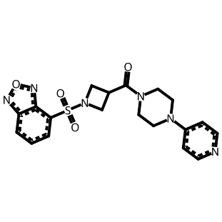 O=C(C1CN(S(=O)(=O)c2cccc3nonc23)C1)N1CCN(c2ccncc2)CC1